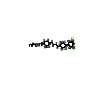 CCCCCC1CCC(CCCCC2CCC(c3cc(F)cc(F)c3)CC2)CC1